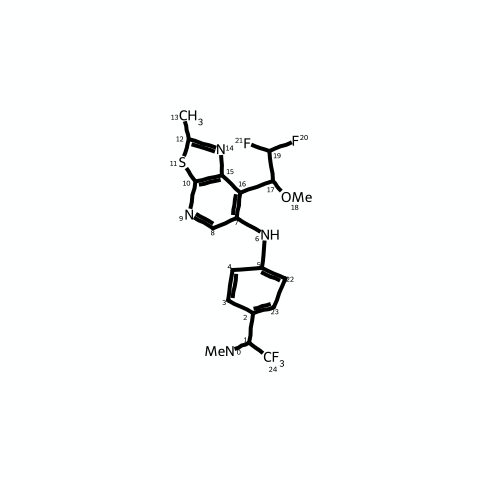 CNC(c1ccc(Nc2cnc3sc(C)nc3c2C(OC)C(F)F)cc1)C(F)(F)F